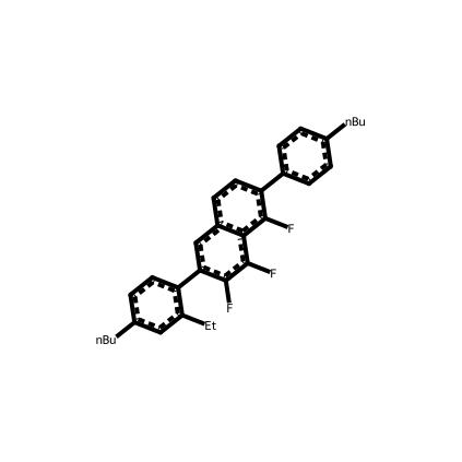 CCCCc1ccc(-c2ccc3cc(-c4ccc(CCCC)cc4CC)c(F)c(F)c3c2F)cc1